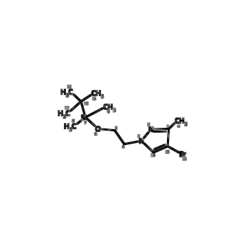 Cc1nn(CCO[Si](C)(C)C(C)(C)C)cc1Br